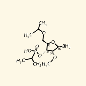 B[C@@H]1O[C@H](COC(C)C)[C@@H](OP(=O)(O)C(C)C)[C@H]1OC